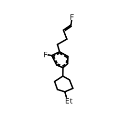 CCC1CCC(c2ccc(CCC=CF)c(F)c2)CC1